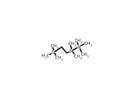 C[Si](C)(C)CC[Si](C)(C)[Si](C)(C)C